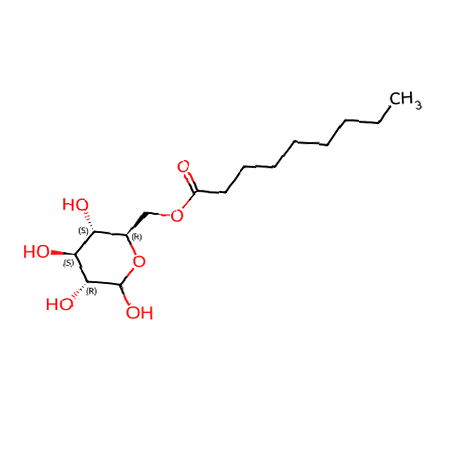 CCCCCCCCC(=O)OC[C@H]1OC(O)[C@H](O)[C@@H](O)[C@@H]1O